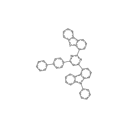 c1ccc(-c2ccc(-c3cc(-c4cccc5c4c4ccccc4n5-c4ccccc4)nc(-c4cccc5c4sc4ccccc45)n3)cc2)cc1